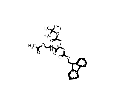 CC(=O)OCNC(=O)[C@H](CC(=O)OC(C)(C)C)NC(=O)OCC1c2ccccc2-c2ccccc21